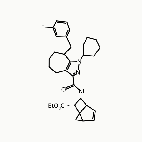 CCOC(=O)[C@@H]1[C@H](NC(=O)c2nn(C3CCCCC3)c3c2CCCCC3Cc2cccc(F)c2)C2C=CC3CC321